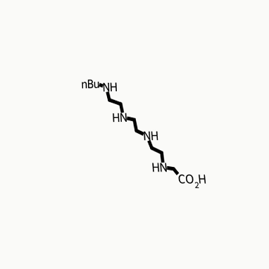 CCCCNCCNCCNCCNCC(=O)O